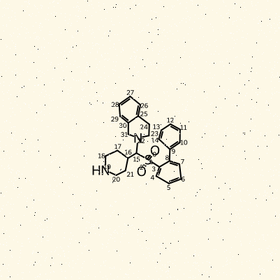 O=S(=O)(c1ccccc1-c1ccccc1)C(C1CCNCC1)N1CCc2ccccc2C1